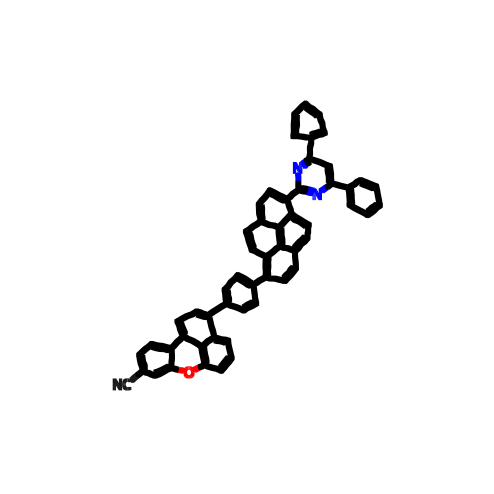 N#Cc1ccc2c(c1)Oc1cccc3c(-c4ccc(-c5ccc6ccc7c(-c8nc(-c9ccccc9)cc(-c9ccccc9)n8)ccc8ccc5c6c87)cc4)ccc-2c13